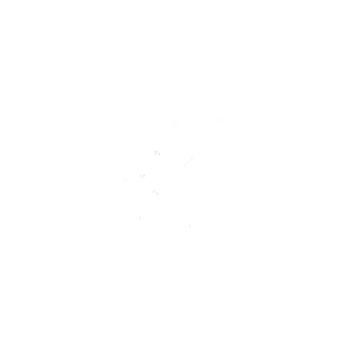 CC1(C)S[C@@H]2C(NC(=O)C(=C(Cl)Cl)c3cccs3)C(=O)N2[C@H]1C(=O)O